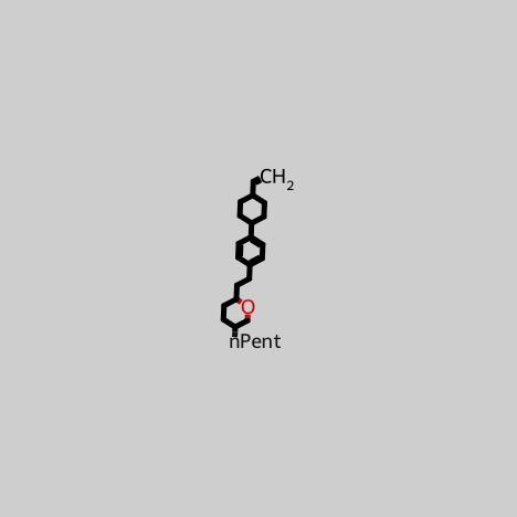 C=CC1CCC(c2ccc(CCC3CCC(CCCCC)CO3)cc2)CC1